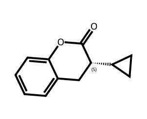 O=C1Oc2ccccc2C[C@H]1C1CC1